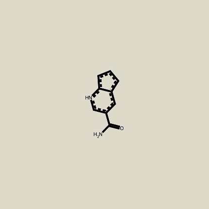 NC(=O)c1c[nH]c2cccc-2c1